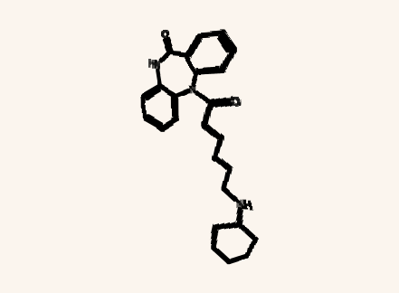 O=C1Nc2ccccc2N(C(=O)CCCCCNC2CCCCC2)c2ccccc21